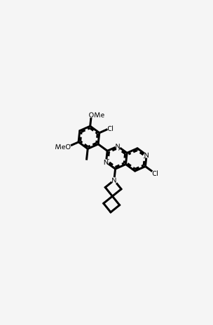 COc1cc(OC)c(Cl)c(-c2nc(N3CC4(CCC4)C3)c3cc(Cl)ncc3n2)c1C